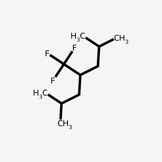 C[C](C)CC(CC(C)C)C(F)(F)F